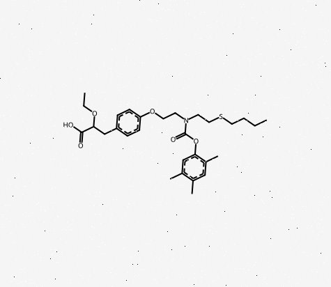 CCCCSCCN(CCOc1ccc(CC(OCC)C(=O)O)cc1)C(=O)Oc1cc(C)c(C)cc1C